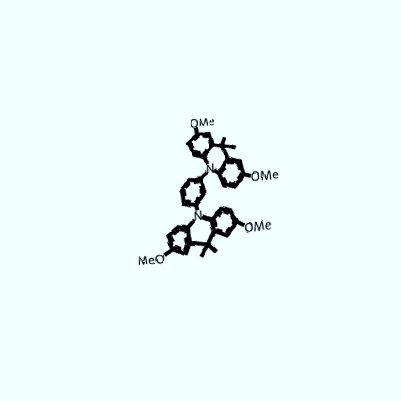 COc1ccc2c(c1)C(C)(C)c1cc(OC)ccc1N2c1cccc(N2c3ccc(OC)cc3C(C)(C)c3cc(OC)ccc32)c1